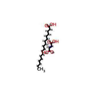 CCCCCCCCCCCCCCCCCC(=O)O.O=C(O)/C=C/C(=O)O